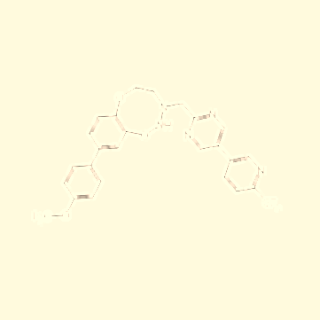 FC(F)(F)Oc1ccc(-c2ccc3c(c2)ONN(Cc2ncc(-c4ccc(C(F)(F)F)nc4)cn2)CCO3)cc1